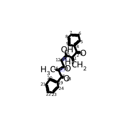 C=C(C(=O)c1ccccc1)/C(O)=C\C(O)=C(/C)C(=O)c1ccccc1